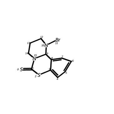 S=C1Sc2ccccc2C2N(Br)CCCN12